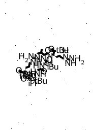 CCC(C)[C@@H](NC(=O)CNC(C)(C)C)C(=O)N[C@H](C(=O)N[C@@H](CCCNC(=N)N)C(=O)C(C)(C)C)C(C)C/N=C(\N)NCCC[C@H](NC(=O)[C@@H](NC(C)(C)C)C(C)C)C(=O)C(C)(C)C